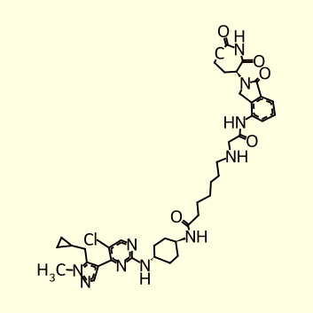 Cn1ncc(-c2nc(N[C@H]3CC[C@H](NC(=O)CCCCCCNCC(=O)Nc4cccc5c4CN([C@H]4CCCC(=O)NC4=O)C5=O)CC3)ncc2Cl)c1CC1CC1